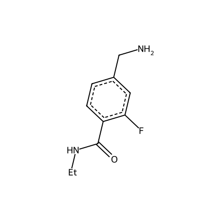 CCNC(=O)c1ccc(CN)cc1F